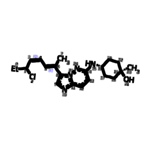 CCC(Cl)/C=C\C=C(/C)c1cnc2ccc(N[C@H]3CC[C@](C)(O)CC3)nn12